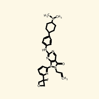 C=CCn1c(=O)c2cnc(Nc3ccc(C4CCC(N(C)C)CC4)cc3)nc2n1-c1cccc(C2(F)COC2)n1